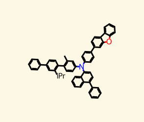 Cc1cc(N(c2ccc(-c3ccc4c(c3)oc3ccccc34)cc2)c2ccc(-c3ccccc3)c3ccccc23)ccc1-c1ccc(-c2ccccc2)cc1C(C)C